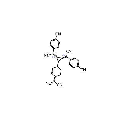 N#CC(C#N)=C1C=CC(C2C(=C(/C#N)c3ccc(C#N)cc3)/C2=C(/C#N)c2ccc(C#N)cc2)CC1